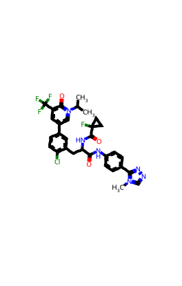 CC(C)n1cc(-c2ccc(Cl)c(CC(NC(=O)C3(F)CC3)C(=O)Nc3ccc(-c4nncn4C)cc3)c2)cc(C(F)(F)F)c1=O